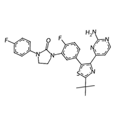 CC(C)(C)c1nc(-c2ccnc(N)n2)c(-c2ccc(F)c(N3CCN(c4ccc(F)cc4)C3=O)c2)s1